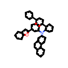 c1ccc(-c2ccc(-c3ccccc3N(c3cccc(-c4cc5ccccc5o4)c3)c3ccc4c(ccc5ccccc54)c3)cc2)cc1